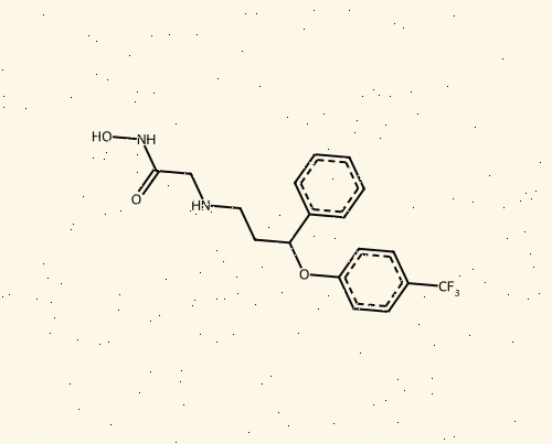 O=C(CNCCC(Oc1ccc(C(F)(F)F)cc1)c1ccccc1)NO